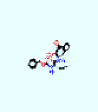 CC(C)C[C@H](NC(=O)OCc1ccccc1)C(=O)N[C@@H](Cc1ccccc1)C(O)c1cc1=O